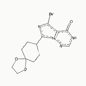 O=c1[nH]cnn2c(C3CCC4(CC3)OCCO4)nc(Br)c12